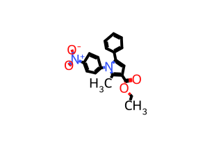 CCOC(=O)c1cc(-c2ccccc2)n(-c2ccc([N+](=O)[O-])cc2)c1C